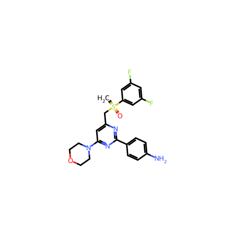 C=S(=O)(Cc1cc(N2CCOCC2)nc(-c2ccc(N)cc2)n1)c1cc(F)cc(F)c1